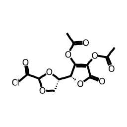 CC(=O)OC1=C(OC(C)=O)[C@@H]([C@@H]2COC(C(=O)Cl)O2)OC1=O